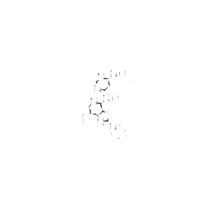 C[C@@H]1CN(c2nc3c(F)cnc(Nc4cc(N)ncn4)c3s2)CCO1